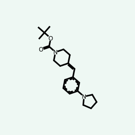 CC(C)(C)OC(=O)N1CCC(=Cc2cccc(N3CCCC3)c2)CC1